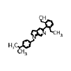 CCc1cccc(CC)c1-c1cc2ccn(Cc3ccc(C(C)C)cc3)c2cn1